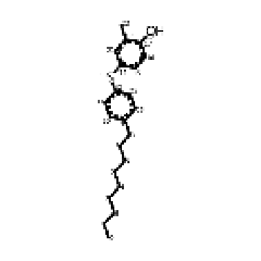 CCCCCCCCCc1ccc(Sc2ccc(O)c(C)c2)cc1